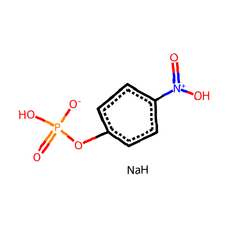 O=[N+](O)c1ccc(OP(=O)([O-])O)cc1.[NaH]